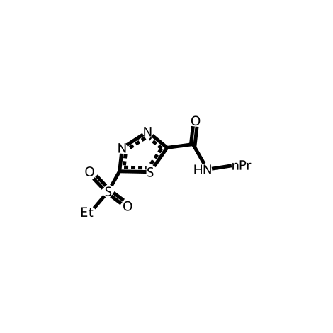 CCCNC(=O)c1nnc(S(=O)(=O)CC)s1